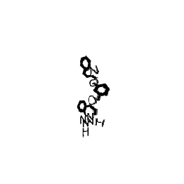 C1=C(OCc2cccc(OCc3ccc4ccccc4n3)c2)c2ccccc2C2=NNNN2C1